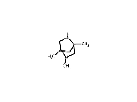 CN1CC2(C)CC1(C)CN2